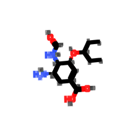 CCC(CC)O[C@@H]1C=C(C(=O)O)C[C@H](N)[C@H]1NC=O